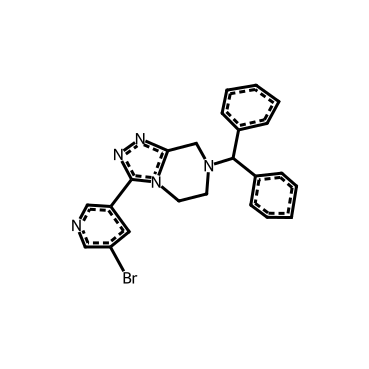 Brc1cncc(-c2nnc3n2CCN(C(c2ccccc2)c2ccccc2)C3)c1